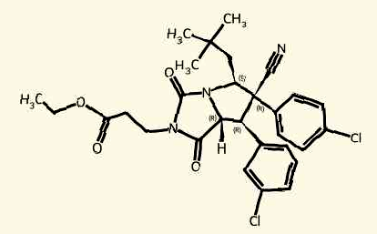 CCOC(=O)CCN1C(=O)[C@H]2[C@H](c3cccc(Cl)c3)[C@@](C#N)(c3ccc(Cl)cc3)[C@H](CC(C)(C)C)N2C1=O